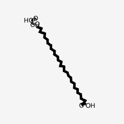 O=C(O)CCCCCCCCCCCCCCCCCCCCCCCCCCCCOP(=O)(O)O